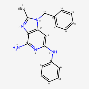 CCCCc1nc2c(N)nc(Nc3ccccc3)cc2n1Cc1ccccc1